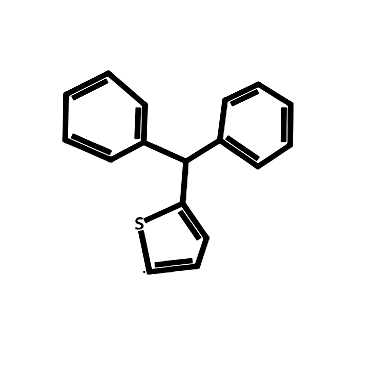 [c]1ccc(C(c2ccccc2)c2ccccc2)s1